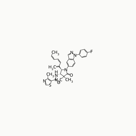 C=C(/C=C\C=C/C)[C@@H]1[C@@H](NC(=O)c2scnc2C)C(C)(C)C(=O)N1c1ccc2c(cnn2-c2ccc(F)cc2)c1